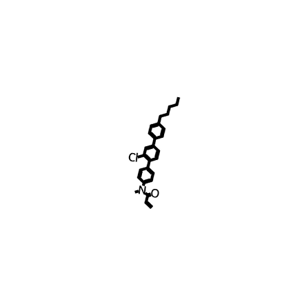 C=CC(=O)N(C)c1ccc(-c2ccc(-c3ccc(CCCCC)cc3)cc2Cl)cc1